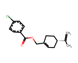 C=C(C)[C@@H]1CC=C(COC(=O)c2ccc(Cl)cc2)CC1